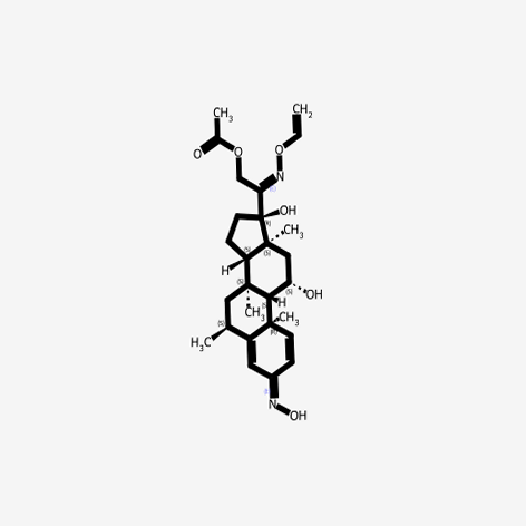 C=CO/N=C(\COC(C)=O)[C@@]1(O)CC[C@H]2[C@]3(C)C[C@H](C)C4=C/C(=N/O)C=C[C@]4(C)[C@H]3[C@@H](O)C[C@@]21C